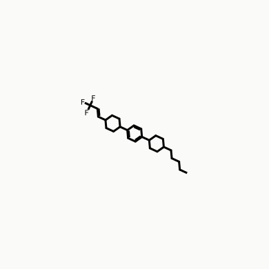 CCCCCC1CCC(c2ccc(C3CCC(/C=C/C(F)(F)F)CC3)cc2)CC1